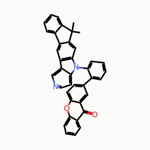 CC1(C)c2ccccc2-c2cc3c4cnccc4n(-c4ccccc4-c4ccc5oc6ccccc6c(=O)c5c4)c3cc21